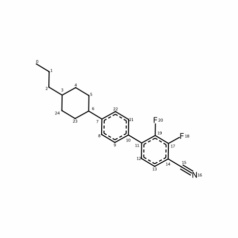 CCCC1CCC(c2ccc(-c3ccc(C#N)c(F)c3F)cc2)CC1